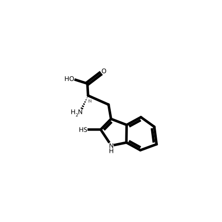 N[C@@H](Cc1c(S)[nH]c2ccccc12)C(=O)O